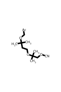 CC(=O)COC(C)(C)CCOC(C)(C)COC#N